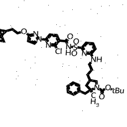 CC(C)(C)OC(=O)N1CC(CCCNc2cccc(S(=O)(=O)NC(=O)c3ccc(-n4ccc(OCCC5C6(CC6)C56CC6)n4)nc3Cl)n2)CC1(C)Cc1ccccc1